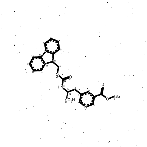 CC(C)(C)OC(=O)c1cncc(C[C@H](NC(=O)OCC2c3ccccc3-c3ccccc32)C(=O)O)c1